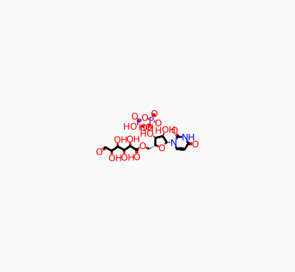 O=CC(O)C(O)C(O)C(O)C(=O)OC[C@H]1O[C@@H](n2ccc(=O)[nH]c2=O)[C@H](O)[C@@H]1O.O=P(O)(O)OP(=O)(O)O